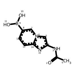 CC(=O)Nc1cn2cc(B(O)O)ccc2n1